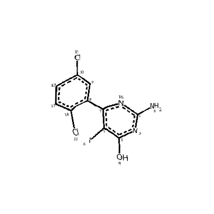 Nc1nc(O)c(I)c(-c2cc(Cl)ccc2Cl)n1